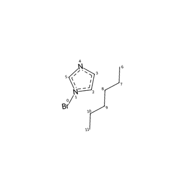 Brn1ccnc1.CCCCCC